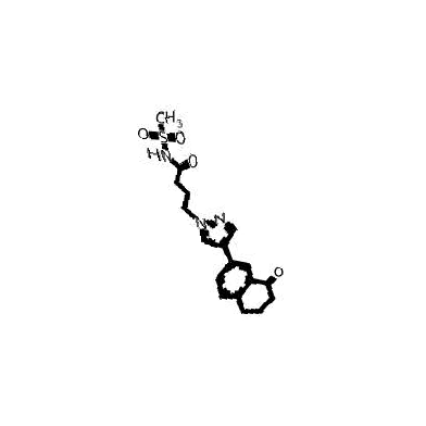 CS(=O)(=O)NC(=O)CCCn1cc(-c2ccc3c(c2)C(=O)CCC3)cn1